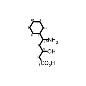 NC(CC(O)CC(=O)O)C1CCCCC1